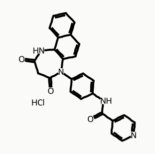 Cl.O=C1CC(=O)N(c2ccc(NC(=O)c3ccncc3)cc2)c2ccc3ccccc3c2N1